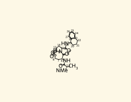 CN[C@@H](C)C(=O)N[C@H]1CCS(=O)(=O)[C@H]2CC[C@@H](C(=O)N[C@@H]3CCCc4ccccc43)N2C1=O